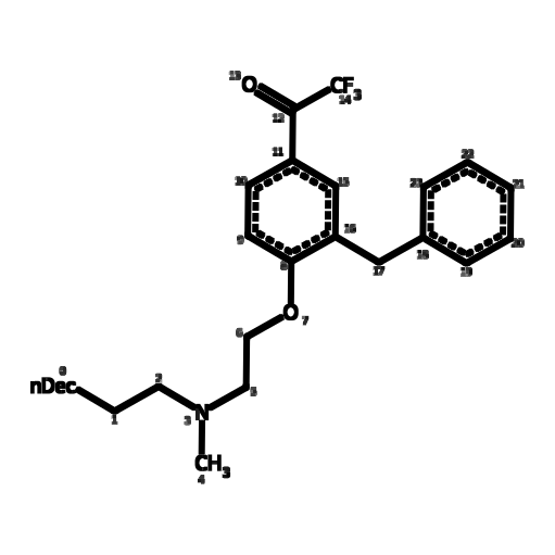 CCCCCCCCCCCCN(C)CCOc1ccc(C(=O)C(F)(F)F)cc1Cc1ccccc1